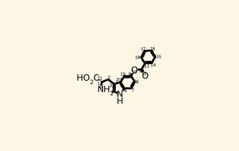 N[C@@H](Cc1c[nH]c2ccc(OC(=O)c3ccccc3)cc12)C(=O)O